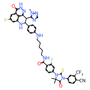 Cn1ncnc1C1c2n[nH]c(=O)c3cc(F)cc(c23)NC1c1ccc(NCCCCCNC(=O)c2ccc(N3C(=S)N(c4ccc(C#N)c(C(F)(F)F)c4)C(=O)C3(C)C)cc2F)cc1